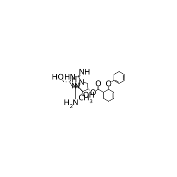 CC1[C@@H](OC(=O)C2CCC=CC2OC2=CC=CCC2)CN2C(=N)N[C@@H](CO)C3NC(N)N(O)C312